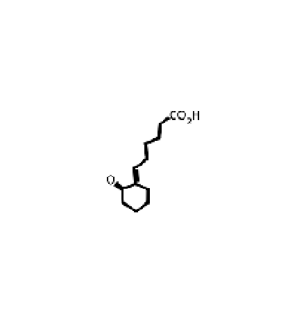 O=C(O)CCCC/C=C1\CCCCC1=O